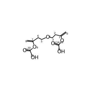 C=C(CCOCCC(=C)OC(=O)O)OC(=O)O